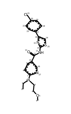 CCN(CCOC)c1ccc(C(=O)Nc2nc(-c3ccc(Cl)cc3)cs2)cn1